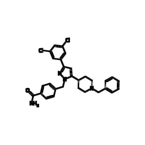 NC(=O)c1ccc(Cn2nc(-c3cc(Cl)cc(Cl)c3)cc2C2CCN(Cc3ccccc3)CC2)cc1